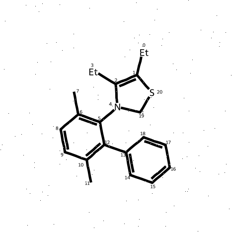 CCC1=C(CC)N(c2c(C)ccc(C)c2-c2ccccc2)[C]S1